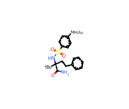 CC(=O)Nc1ccc(S(=O)(=O)NC(CCc2ccccc2)(C(N)=O)C(C)(C)C)cc1